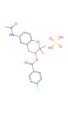 CC(=O)Nc1ccc2c(c1)CC(OC(=O)c1ccc(F)cc1)C(C)(C)O2.O=S(=O)(O)O